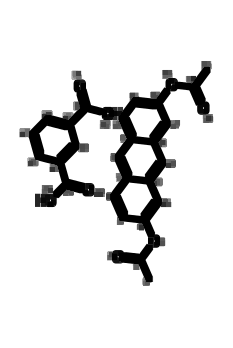 CC(=O)Oc1ccc2cc3ccc(OC(C)=O)cc3cc2c1.O=C(O)c1cccc(C(=O)O)c1